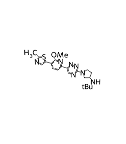 COc1nc(-c2cnc(N3CCC(NC(C)(C)C)C3)nn2)ccc1-c1cnc(C)s1